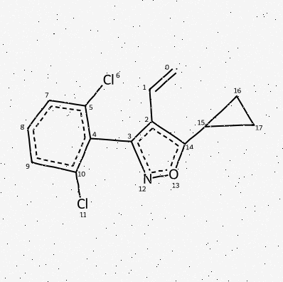 [CH]=Cc1c(-c2c(Cl)cccc2Cl)noc1C1CC1